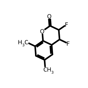 Cc1cc(C)c2c(c1)C(F)C(F)C(=O)O2